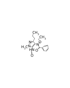 CCCc1nn(C)c(NC=O)c1N(OCC)C(=O)c1ccccc1